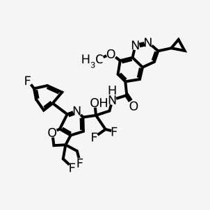 COc1cc(C(=O)NCC(O)(c2cc3c(c(-c4ccc(F)cc4)n2)OCC3(CF)CF)C(F)F)cc2cc(C3CC3)nnc12